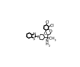 CC(N)(C1CCN(c2nc3ccccc3s2)CC1)C1COc2c(ccc(Cl)c2Cl)O1